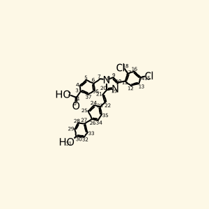 O=C(O)c1ccc(Cn2cc(-c3ccc(Cl)cc3Cl)nc2C=Cc2ccc(-c3ccc(O)cc3)cc2)cc1